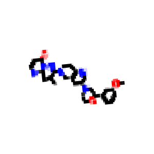 COc1cccc(C2CN(c3cnc4c(c3)CN(c3nn5c(=O)ccnc5cc3C)CC4)CCO2)c1